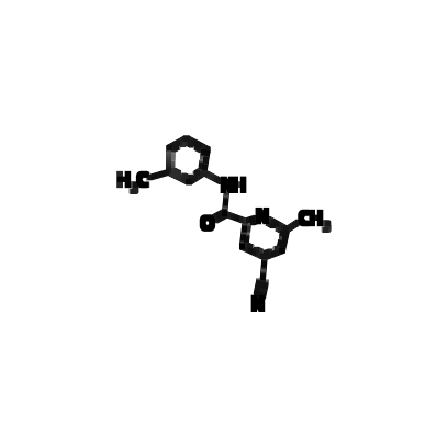 Cc1cccc(NC(=O)c2cc(C#N)cc(C)n2)c1